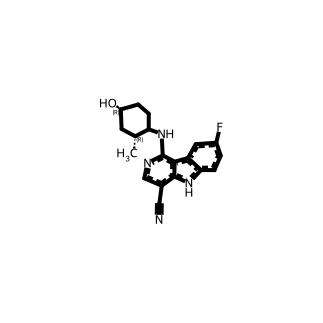 C[C@@H]1C[C@H](O)CCC1Nc1ncc(C#N)c2[nH]c3ccc(F)cc3c12